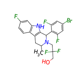 CC1Cc2c([nH]c3cc(F)ccc23)C(c2c(F)cc(Br)cc2F)N1CC(F)(F)CO